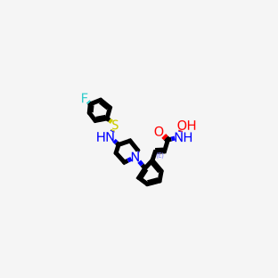 O=C(/C=C/c1ccccc1N1CCC(NSc2ccc(F)cc2)CC1)NO